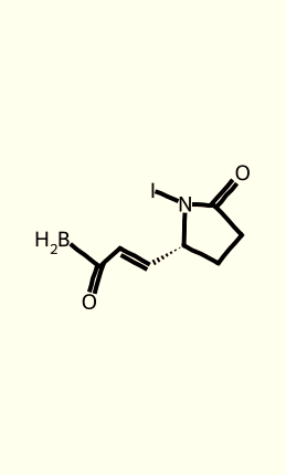 BC(=O)/C=C/[C@H]1CCC(=O)N1I